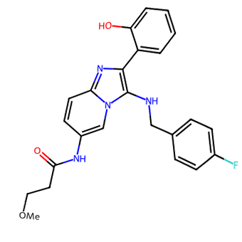 COCCC(=O)Nc1ccc2nc(-c3ccccc3O)c(NCc3ccc(F)cc3)n2c1